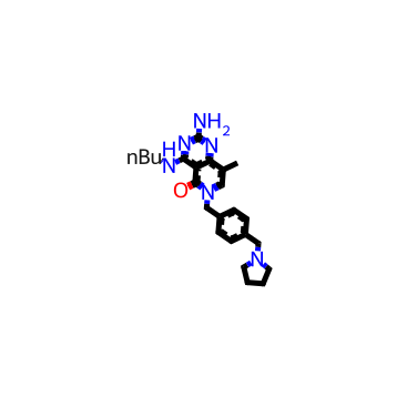 CCCCNc1nc(N)nc2c(C)cn(Cc3ccc(CN4CCCC4)cc3)c(=O)c12